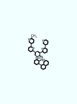 Cc1ccc(-c2cccc(C3=CC(=N)/C(=N\Nc4ccccc4-c4cccc5ccccc45)C(c4cccc(-c5cccnc5)n4)=C3)n2)cn1